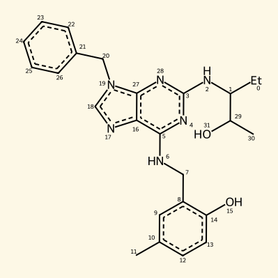 CCC(Nc1nc(NCc2cc(C)ccc2O)c2ncn(Cc3ccccc3)c2n1)C(C)O